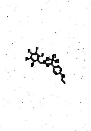 CCOc1ccc(C(=NOCc2c(F)c(F)c(F)c(F)c2F)C(Cl)(Cl)Cl)cc1